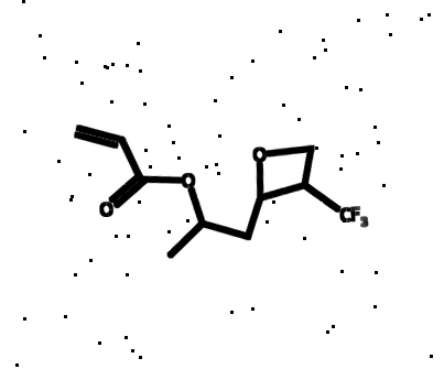 C=CC(=O)OC(C)CC1OCC1C(F)(F)F